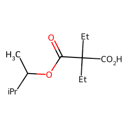 CCC(CC)(C(=O)O)C(=O)OC(C)C(C)C